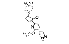 COc1nc(N2CCC(N3CCS(=O)(=O)CC3)C2=O)ccc1-c1cn[nH]c1